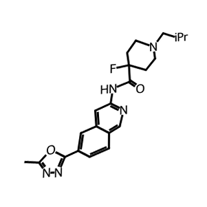 Cc1nnc(-c2ccc3cnc(NC(=O)C4(F)CCN(CC(C)C)CC4)cc3c2)o1